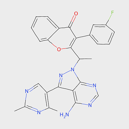 Cc1ncc(-c2nn(C(C)c3oc4ccccc4c(=O)c3-c3cccc(F)c3)c3ncnc(N)c23)c(C)n1